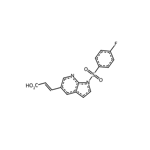 O=C(O)/C=C/c1cnc2c(ccn2S(=O)(=O)c2ccc(F)cc2)c1